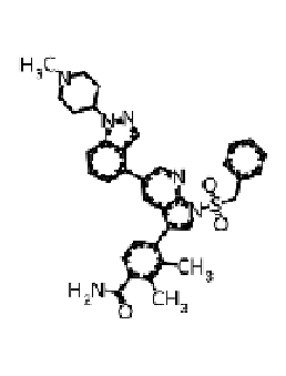 Cc1c(C(N)=O)ccc(-c2cn(S(=O)(=O)Cc3ccccc3)c3ncc(-c4cccc5c4cnn5C4CCN(C)CC4)cc23)c1C